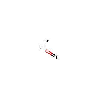 [La].[LiH].[O]=[Ti]